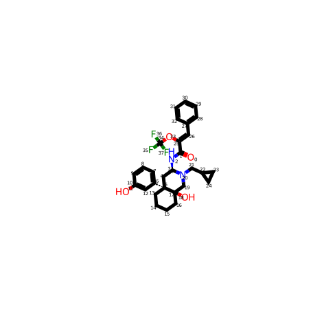 O=C(N[C@@H]1C[C@]2(c3cccc(O)c3)CCCCC2(O)CN1CC1CC1)C(=Cc1ccccc1)OC(F)(F)F